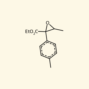 CCOC(=O)C1(c2ccc(C)cc2)OC1C